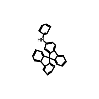 c1ccc(Nc2ccc3c(c2)C2(c4ccccc4-c4ccccc42)c2ccccc2-3)cc1